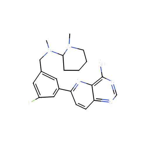 CN1CCCCC1N(C)Cc1cc(F)cc(-c2ccc3ncnc(N)c3n2)c1